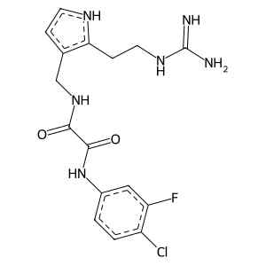 N=C(N)NCCc1[nH]ccc1CNC(=O)C(=O)Nc1ccc(Cl)c(F)c1